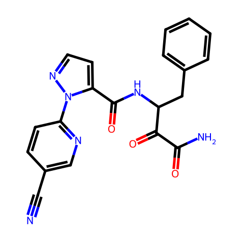 N#Cc1ccc(-n2nccc2C(=O)NC(Cc2ccccc2)C(=O)C(N)=O)nc1